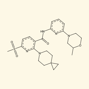 CC1CN(c2cccc(NC(=O)c3ccc(S(C)(=O)=O)nc3N3CCC4(CC3)CC4)n2)CCO1